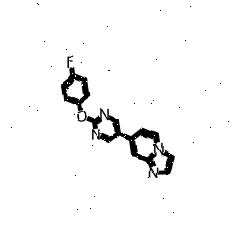 Fc1ccc(Oc2ncc(-c3ccn4ccnc4c3)cn2)cc1